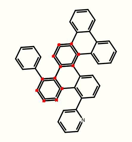 c1ccc(-c2ccnc(-c3c(-c4ccccn4)cccc3-c3c(-c4ccccc4)ccc4c5ccccc5c5ccccc5c34)c2-c2ccccc2)cc1